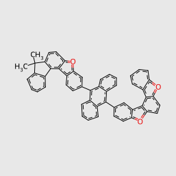 CC1(C)c2ccccc2-c2c1ccc1oc3cc(-c4c5ccccc5c(-c5ccc6oc7ccc8oc9ccccc9c8c7c6c5)c5ccccc45)ccc3c21